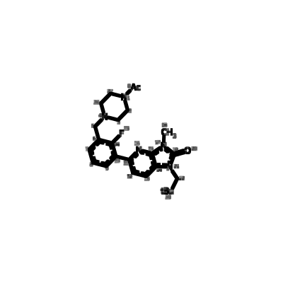 CC(=O)N1CCN(Cc2cccc(-c3ccc4c(n3)n(C)c(=O)n4CC(C)(C)C)c2F)CC1